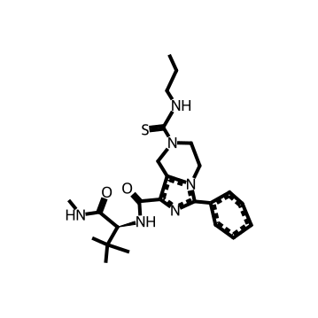 CCCNC(=S)N1CCn2c(-c3ccccc3)nc(C(=O)N[C@H](C(=O)NC)C(C)(C)C)c2C1